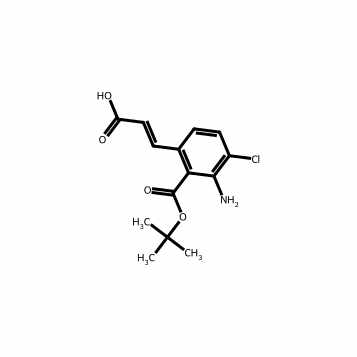 CC(C)(C)OC(=O)c1c(C=CC(=O)O)ccc(Cl)c1N